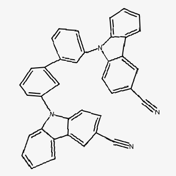 N#Cc1ccc2c(c1)c1ccccc1n2-c1cccc(-c2cccc(-n3c4ccccc4c4cc(C#N)ccc43)c2)c1